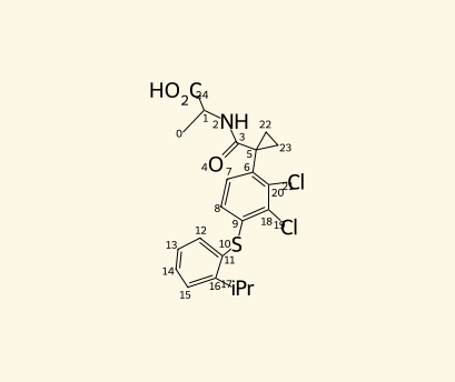 CC(NC(=O)C1(c2ccc(Sc3ccccc3C(C)C)c(Cl)c2Cl)CC1)C(=O)O